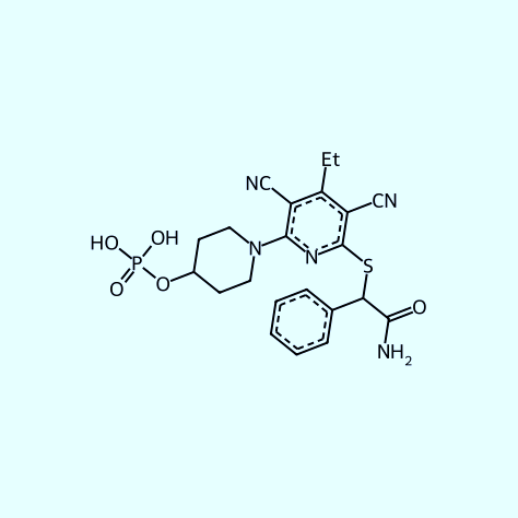 CCc1c(C#N)c(SC(C(N)=O)c2ccccc2)nc(N2CCC(OP(=O)(O)O)CC2)c1C#N